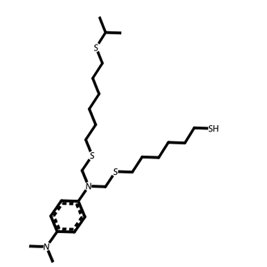 CC(C)SCCCCCCSCN(CSCCCCCCS)c1ccc(N(C)C)cc1